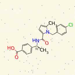 Cc1ccc(C(=O)N[C@@H](C)c2ccc(C(=O)O)cc2)n1Cc1ccc(Cl)cc1